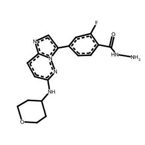 NNC(=O)c1ccc(-c2cnc3ccc(NC4CCOCC4)nn23)cc1F